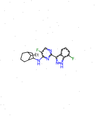 CCC1C2CCCC1C(Nc1nc(-c3n[nH]c4c(F)cccc34)ncc1F)C2